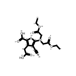 CCOC(=O)CN(CC(=O)OCC)c1sc(C(=O)O)c(CC(=O)O)c1C#N